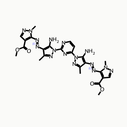 COC(=O)c1cnn(C)c1/N=N/c1c(C)nn(-c2ccnc(-n3nc(C)c(/N=N/c4c(C(=O)OC)cnn4C)c3N)n2)c1N